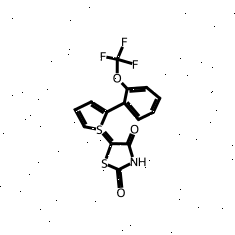 O=C1NC(=O)C(=S2C=CC=C2c2ccccc2OC(F)(F)F)S1